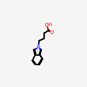 O=C(O)CCCn1cc2ccccc2c1